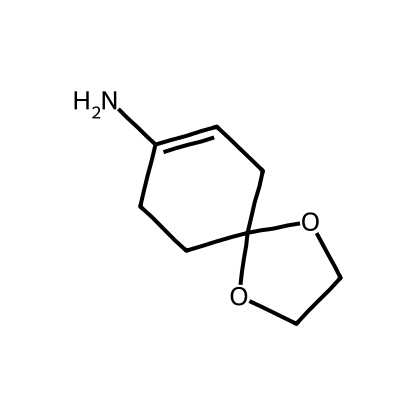 NC1=CCC2(CC1)OCCO2